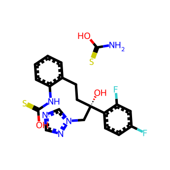 NC(O)=S.OC(=S)Nc1ccccc1CC[C@](O)(Cn1cncn1)c1ccc(F)cc1F